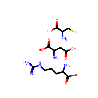 N=C(N)NCCCC(N)C(=O)O.NC(CC(=O)O)C(=O)O.NC(CS)C(=O)O